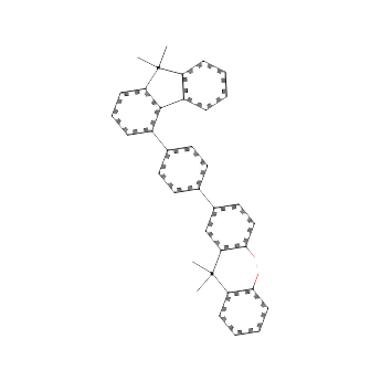 CC1(C)c2ccccc2Oc2ccc(-c3ccc(-c4cccc5c4-c4ccccc4C5(C)C)cc3)cc21